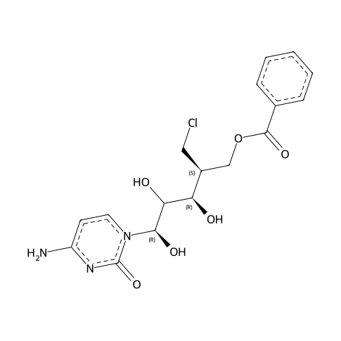 Nc1ccn([C@H](O)C(O)[C@H](O)[C@@H](CCl)COC(=O)c2ccccc2)c(=O)n1